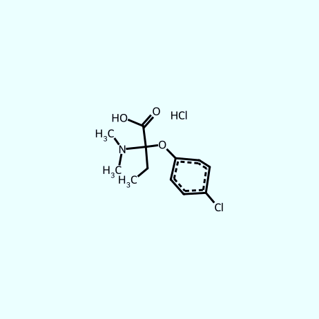 CCC(Oc1ccc(Cl)cc1)(C(=O)O)N(C)C.Cl